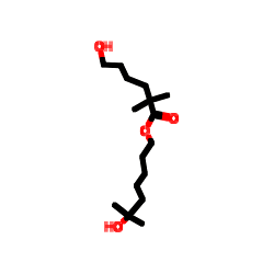 CC(C)(O)CCCCCOC(=O)C(C)(C)CCCCO